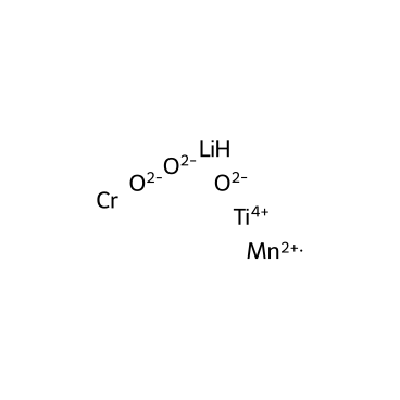 [Cr].[LiH].[Mn+2].[O-2].[O-2].[O-2].[Ti+4]